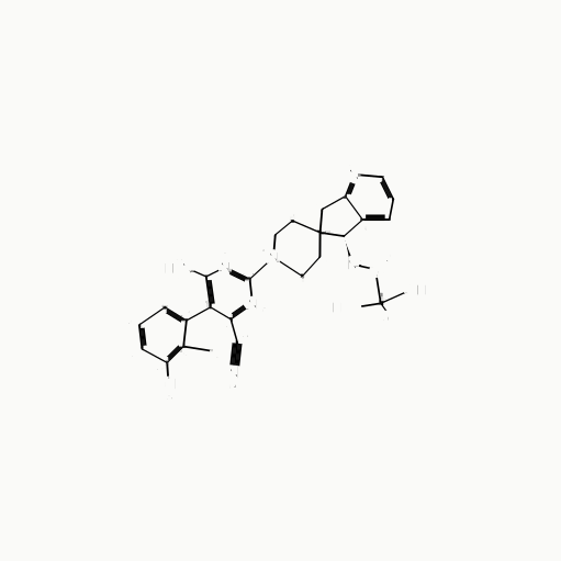 CC(C)(C)[S@@+]([O-])N[C@@H]1c2cccnc2CC12CCN(c1nc(N)c(-c3cccc(Cl)c3Cl)c(C#N)n1)CC2